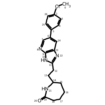 COc1ccc(-c2cnc3[nH]c(CCC4CCCCC(=O)N4)nc3c2)cc1